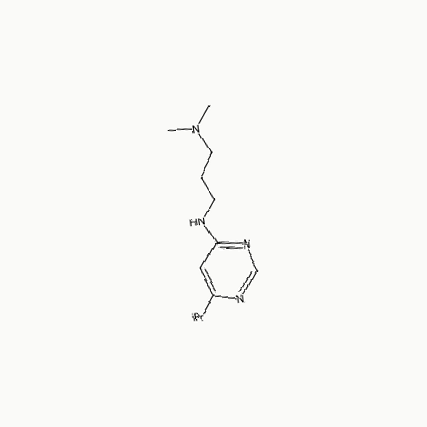 CC(C)c1cc(NCCCN(C)C)ncn1